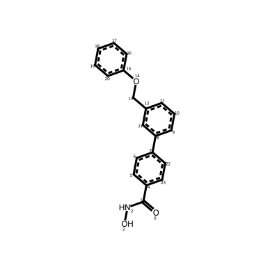 O=C(NO)c1ccc(-c2cccc(COc3ccccc3)c2)cc1